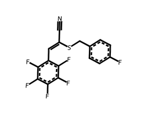 N#CC(=Cc1c(F)c(F)c(F)c(F)c1F)SCc1ccc(F)cc1